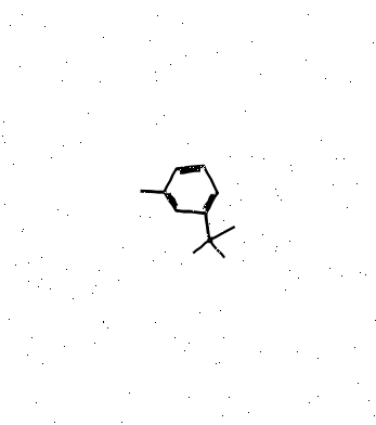 Cc1c[c]cc(C(C)(C)C)c1